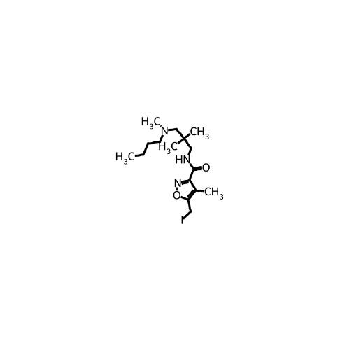 CCCCN(C)CC(C)(C)CNC(=O)c1noc(CI)c1C